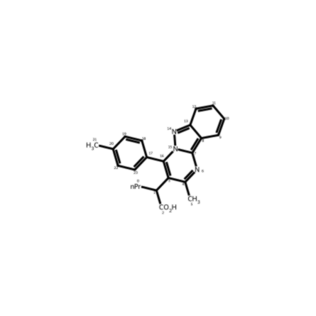 CCCC(C(=O)O)c1c(C)nc2c3ccccc3nn2c1-c1ccc(C)cc1